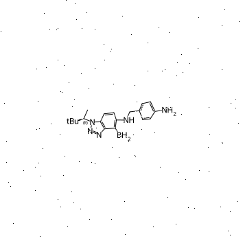 Bc1c(NCc2ccc(N)cc2)ccc2c1nnn2[C@H](C)C(C)(C)C